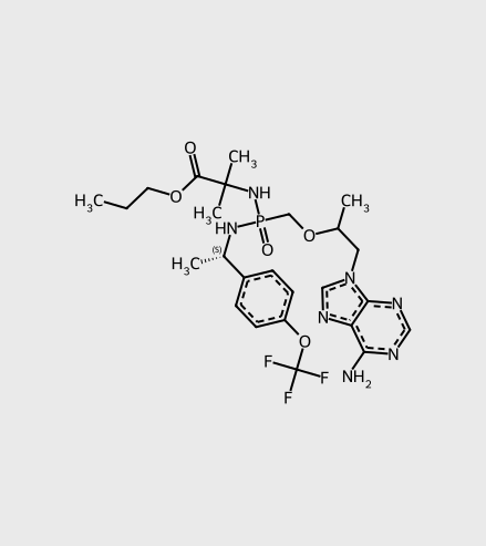 CCCOC(=O)C(C)(C)NP(=O)(COC(C)Cn1cnc2c(N)ncnc21)N[C@@H](C)c1ccc(OC(F)(F)F)cc1